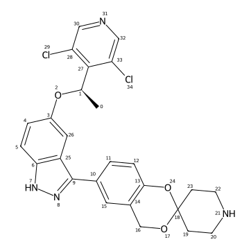 C[C@@H](Oc1ccc2[nH]nc(-c3ccc4c(c3)COC3(CCNCC3)O4)c2c1)c1c(Cl)cncc1Cl